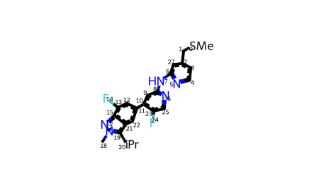 CSCc1ccnc(Nc2cc(-c3cc(F)c4nn(C)c(C(C)C)c4c3)c(F)cn2)c1